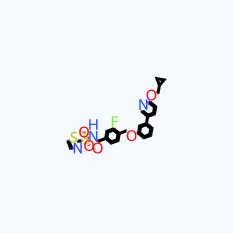 O=C(NS(=O)(=O)c1nccs1)c1ccc(COc2cccc(-c3ccc(OCC4CC4)nc3)c2)c(F)c1